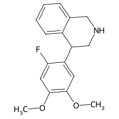 COc1cc(F)c(C2CNCc3ccccc32)cc1OC